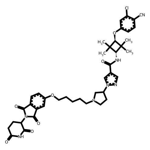 CC1(C)[C@H](NC(=O)c2cnn(C3CCN(CCCCCOc4ccc5c(c4)C(=O)N(C4CCC(=O)NC4=O)C5=O)C3)c2)C(C)(C)[C@H]1Oc1ccc(C#N)c(Cl)c1